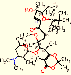 CC[C@@H](O[Si](C)(C)C(C)(C)C)[C@@](C)(O)/C=C/C(=O)[C@H](C)C[C@@](C)(OC)[C@H](O[C@@H]1OC(C)CC(N(C)C)C1C)[C@@H](C)C1=C(C)C(=O)OC(C)(C)O1